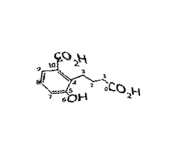 O=C(O)CCCc1c(O)cccc1C(=O)O